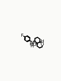 O[C@@]12CCCO[C@@H]1CCC[C@@H]2Nc1ccc(F)cc1